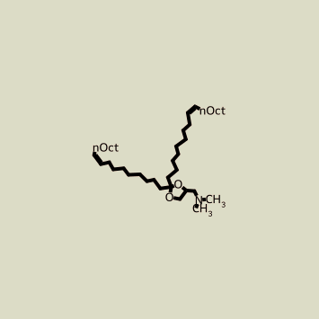 CCCCCCCC/C=C\CCCCCCCCC1(CCCCCCCC/C=C\CCCCCCCC)OCC(CN(C)C)O1